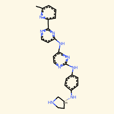 Cc1cccc(-c2nccc(Nc3ccnc(Nc4ccc(N[C@@H]5CCNC5)cc4)n3)n2)n1